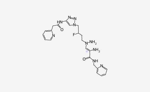 N/C(=C\N(N)CCC(F)Cn1cc(NC(=O)Cc2ccccn2)nn1)C(=O)NCc1ccccn1